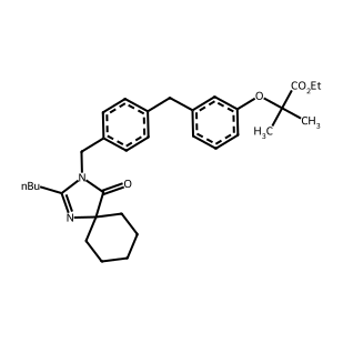 CCCCC1=NC2(CCCCC2)C(=O)N1Cc1ccc(Cc2cccc(OC(C)(C)C(=O)OCC)c2)cc1